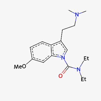 CCN(CC)C(=O)n1cc(CCN(C)C)c2ccc(OC)cc21